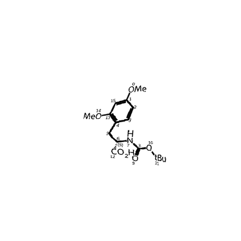 COc1ccc(C[C@H](NC(=O)OC(C)(C)C)C(=O)O)c(OC)c1